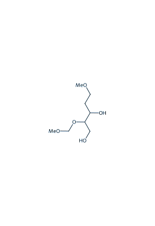 COCCC(O)C(CO)OCOC